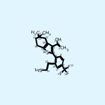 C=C(O)c1c(-c2ccc(C(F)(F)F)cc2CCS)sc2c1CC(C)(C)CC2